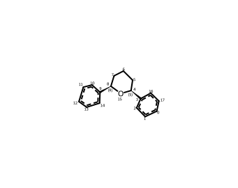 c1ccc([C@@H]2CCC[C@H](c3ccccc3)O2)cc1